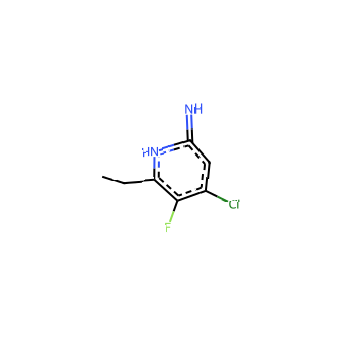 CCc1[nH]c(=N)cc(Cl)c1F